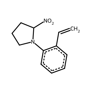 C=Cc1ccccc1N1CCCC1[N+](=O)[O-]